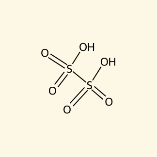 O=S(=O)(O)S(=O)(=O)O